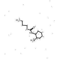 CCCCOC(=O)NC1CCCCC1N